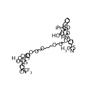 Cc1ncsc1-c1ccc(CNC(=O)[C@@H]2C[C@@H](O)CN2C(=O)[C@H](C(C)C)N2Cc3ccccc3C2=O)c(OCCOCCOCCCCCOCCOCCOc2ccc(N3C(=S)N(c4ccc(C#N)c(C(F)(F)F)c4)C(=O)C3(C)C)cc2)c1